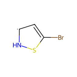 BrC1=C[CH]NS1